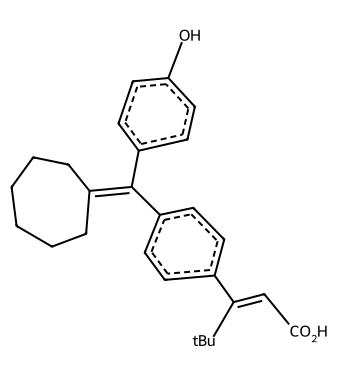 CC(C)(C)/C(=C\C(=O)O)c1ccc(C(=C2CCCCCC2)c2ccc(O)cc2)cc1